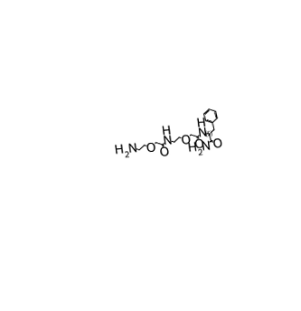 NCCOCC(=O)NCCOCC(=O)N[C@@H](Cc1ccccc1)C(N)=O